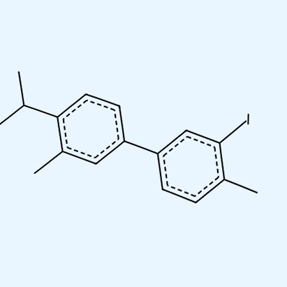 Cc1ccc(-c2ccc(C(C)C)c(C)c2)cc1I